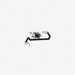 CCCCC/C=C\C/C=C\CCCCCCCCC(CCCCCCCC/C=C\C/C=C\CCCCC)=NNC(=O)C(C)(C)C(C)(C)CN(C)C